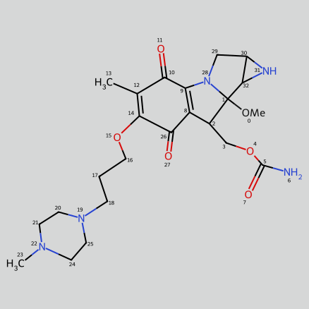 COC12C(COC(N)=O)C3=C(C(=O)C(C)=C(OCCCN4CCN(C)CC4)C3=O)N1CC1NC12